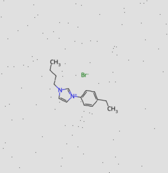 CCCCn1cc[n+](-c2ccc(CC)cc2)c1.[Br-]